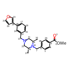 COC(=O)c1ccc(CN2[C@H](C)CN(Cc3cccc(-c4ccoc4)c3)C[C@@H]2C)cc1